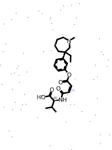 CCC1(c2cccc(OC(=O)/C=C\C(=O)N[C@H](C(=O)O)C(C)C)c2)CCCCN(C)C1